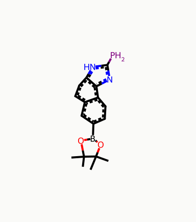 CC1(C)OB(c2ccc3c(ccc4[nH]c(P)nc43)c2)OC1(C)C